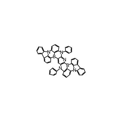 c1ccc(N2c3cc4c(nc3B3c5c2cccc5-n2c5ccccc5c5cccc3c52)N(c2ccccc2)c2cccc3c2B4c2cccc4c5ccccc5n-3c24)cc1